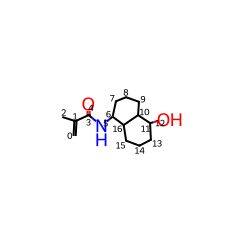 C=C(C)C(=O)NC1CCCC2C(O)CCCC12